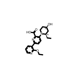 CCOc1ncccc1-c1ccc(N2CC[C@@H](O)C[C@H]2CC)c(C(=O)O)n1